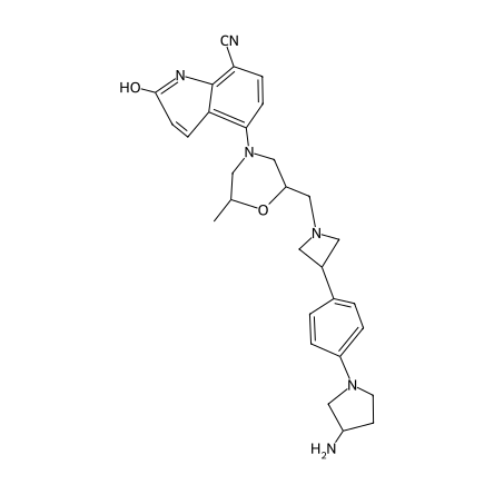 CC1CN(c2ccc(C#N)c3nc(O)ccc23)CC(CN2CC(c3ccc(N4CCC(N)C4)cc3)C2)O1